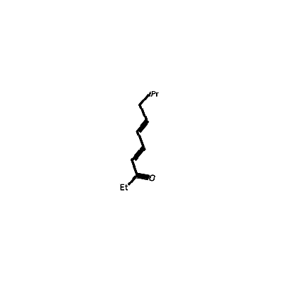 CCC(=O)/C=C/C=C/CC(C)C